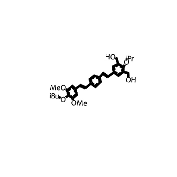 CCC(C)Oc1c(OC)cc(/C=C/c2ccc(/C=C/c3cc(CO)c(OC(C)C)c(CO)c3)cc2)cc1OC